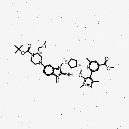 COC[C@H]1CN(c2ccc3[nH]c(=N)n(C[C@@H]4CC[C@H](COc5c(-c6cc(C(=O)OC)cc(C)n6)c(C)nn5C)C4)c3c2)CCN1C(=O)OC(C)(C)C